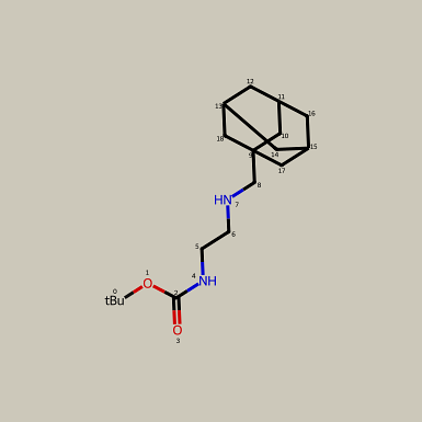 CC(C)(C)OC(=O)NCCNCC12CC3CC(CC(C3)C1)C2